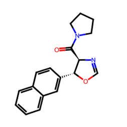 O=C([C@H]1N=CO[C@@H]1c1ccc2ccccc2c1)N1CCCC1